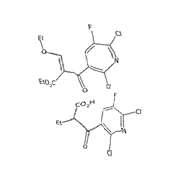 CCC(C(=O)O)C(=O)c1cc(F)c(Cl)nc1Cl.CCOC=C(C(=O)OCC)C(=O)c1cc(F)c(Cl)nc1Cl